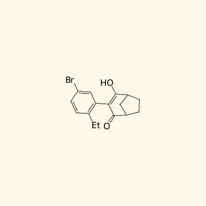 CCc1ccc(Br)cc1C1=C(O)C2CCC(C2)C1=O